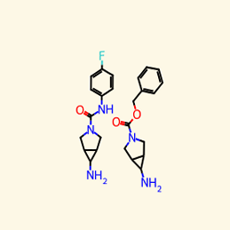 NC1C2CN(C(=O)Nc3ccc(F)cc3)CC12.NC1C2CN(C(=O)OCc3ccccc3)CC12